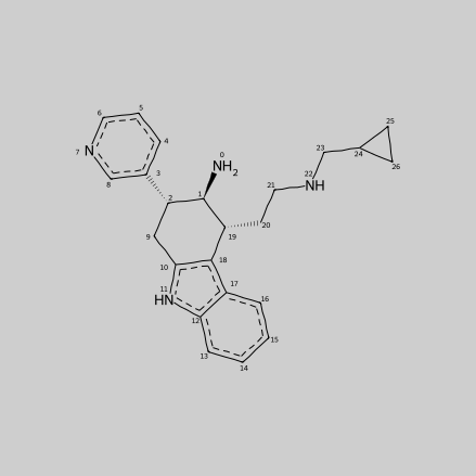 N[C@@H]1[C@@H](c2cccnc2)Cc2[nH]c3ccccc3c2[C@H]1CCNCC1CC1